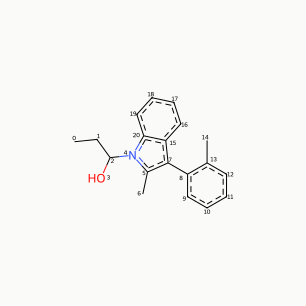 CCC(O)n1c(C)c(-c2ccccc2C)c2ccccc21